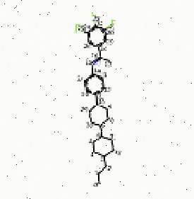 CCCC1CCC(C2CCC(c3ccc(/C=C(\C)c4cc(F)c(F)c(F)c4)cc3)CC2)CC1